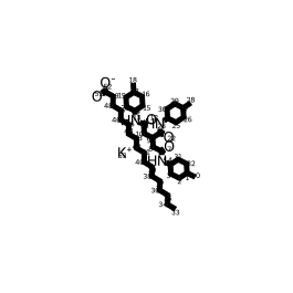 CC1CCC(NC(=O)CC(CC(=O)NC2CCC(C)CC2)C(=O)NC2CCC(C)CC2)CC1.CCCCCCCCCCCCCCCCCC(=O)[O-].[K+]